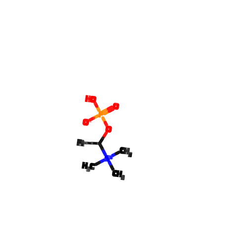 CCC(OP(=O)([O-])O)[N+](C)(C)C